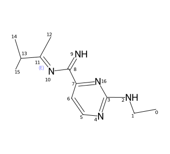 CCNc1nccc(C(=N)/N=C(\C)C(C)C)n1